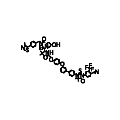 Cc1ncsc1-c1ccc(CNC(=O)[C@@H]2C[C@@H](O)CN2C(=O)C(NC(=O)COc2ccc(Oc3cccc(-c4ccc(N5C(=S)N(c6ccc(C#N)c(C(F)(F)F)c6)C(=O)C5(C)C)cc4)c3)cc2)C(C)(C)C)cc1